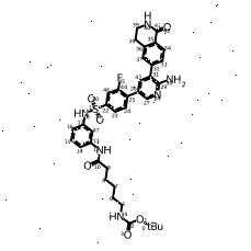 CC(C)(C)OC(=O)NCCCCCC(=O)Nc1cccc(NS(=O)(=O)c2ccc(-c3cnc(N)c(-c4ccc5c(c4)CCNC5=O)c3)c(F)c2)c1